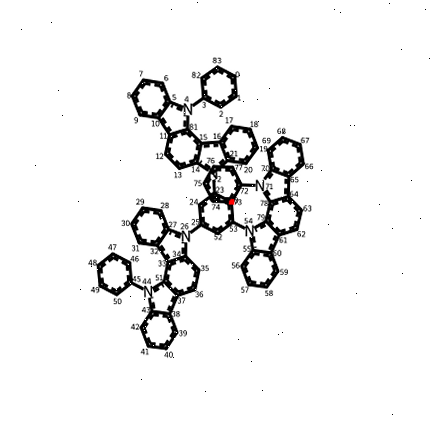 c1ccc(-n2c3ccccc3c3ccc4c(c5ccccc5n4-c4cc(-n5c6ccccc6c6c5ccc5c7ccccc7n(-c7ccccc7)c56)cc(-n5c6ccccc6c6ccc7c8ccccc8n(-c8ccccc8)c7c65)c4)c32)cc1